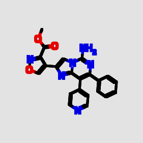 COC(=O)c1nocc1-c1cn2c(N)nc(-c3ccccc3)c(-c3ccncc3)c2n1